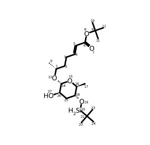 C[C@H](CC/C=C/C(=O)OC(C)(C)C)O[C@@H]1O[C@@H](C)[C@H](O[SiH2]C(C)(C)C)C[C@H]1O